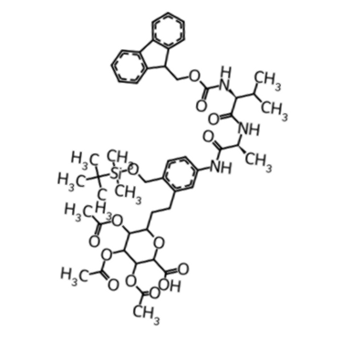 CC(=O)OC1C(CCc2cc(NC(=O)[C@H](C)NC(=O)[C@@H](NC(=O)OCC3c4ccccc4-c4ccccc43)C(C)C)ccc2CO[Si](C)(C)C(C)(C)C)OC(C(=O)O)C(OC(C)=O)C1OC(C)=O